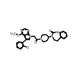 COc1ncnc2c1c(-c1ccccc1Cl)cn2CC(=O)N1CCC(N2CCc3ccccc3NC2=O)CC1